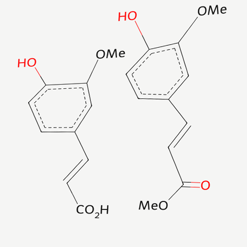 COC(=O)C=Cc1ccc(O)c(OC)c1.COc1cc(C=CC(=O)O)ccc1O